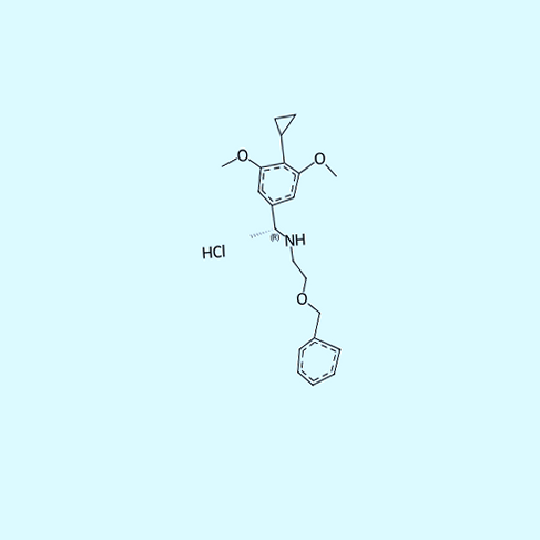 COc1cc([C@@H](C)NCCOCc2ccccc2)cc(OC)c1C1CC1.Cl